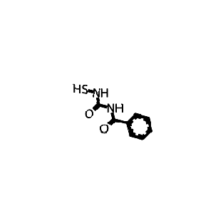 O=C(NS)NC(=O)c1ccccc1